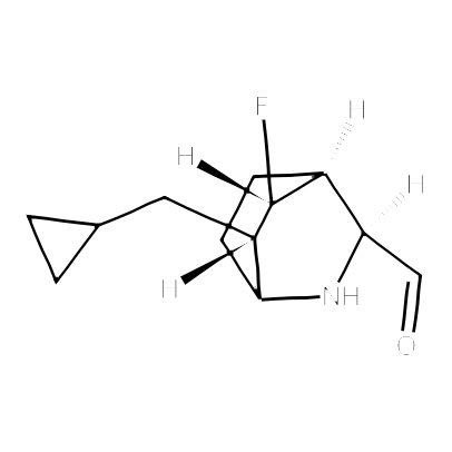 O=C[C@H]1NC2CC[C@@H]1[C@@H](F)[C@H]2CC1CC1